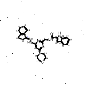 O=C(NCc1nc(N/N=C2\CCC3=C2C=CCC3)cc(N2CCOCC2)n1)c1cc2ccccc2[nH]1